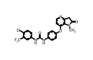 CN1C(=O)Cc2nccc(Oc3ccc(NC(=O)Nc4ccc(Cl)c(C(F)(F)F)c4)cc3)c21